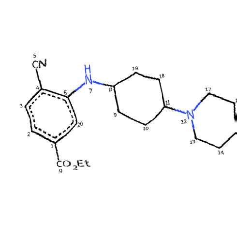 CCOC(=O)c1ccc(C#N)c(NC2CCC(N3CCCCC3)CC2)c1